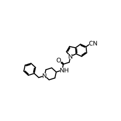 N#Cc1ccc2c(ccn2CC(=O)NC2CCN(Cc3ccccc3)CC2)c1